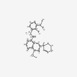 COc1nc(C2(C)C=CSCC2)cc2c(N[C@H](C)c3cccc(C(F)F)c3F)ncnc12